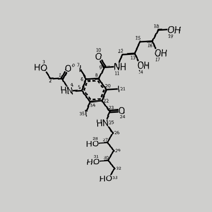 O=C(CO)Nc1c(I)c(C(=O)NCC(O)CC(O)CO)c(I)c(C(=O)NCC(O)CC(O)CO)c1I